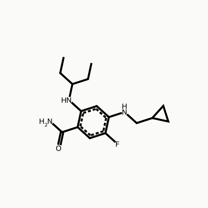 CCC(CC)Nc1cc(NCC2CC2)c(F)cc1C(N)=O